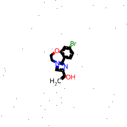 C=C(O)c1cn2c(n1)-c1ccc(Br)cc1OCC2